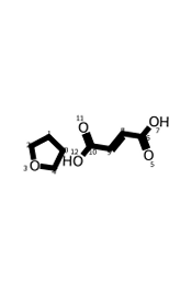 C1CCOC1.O=C(O)C=CC(=O)O